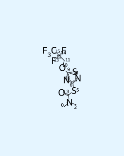 CN(C)C(=O)Sc1nsc(OCC(F)(F)C(F)(F)F)n1